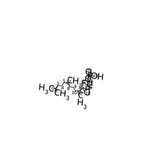 CC(C)=CCCC(C)=CCCC(C)=CC(=O)C(F)(F)CO[PH](=O)O